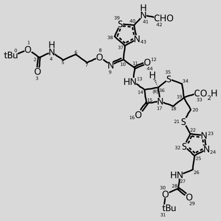 CC(C)(C)OC(=O)NCCCON=C(C(=O)NC1C(=O)N2CC(CSc3nnc(CNC(=O)OC(C)(C)C)s3)(C(=O)O)CS[C@H]12)c1csc(NC=O)n1